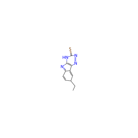 CCC1C=CC2=Nc3[nH]c(=S)nnc3C2=C1